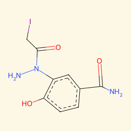 NC(=O)c1ccc(O)c(N(N)C(=O)CI)c1